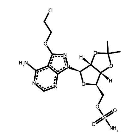 CC1(C)O[C@@H]2[C@H](O1)[C@@H](COS(N)(=O)=O)O[C@H]2n1nc(OCCCl)c2c(N)ncnc21